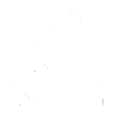 c1ccc(-c2ccc(-c3cccc(N(c4ccc(-c5ccc(-c6cccc7c6oc6ccccc67)cc5)cc4)c4cccc(-c5ccccc5-n5c6ccccc6c6ccccc65)c4)c3)cc2)cc1